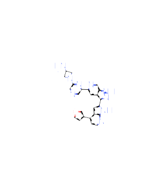 NC1CN(c2cncc(-c3cc4c(-c5cc6c(-c7ccoc7)ccnc6[nH]5)n[nH]c4cn3)n2)C1